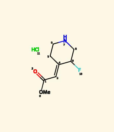 COC(=O)/C=C1\CCNCC1F.Cl